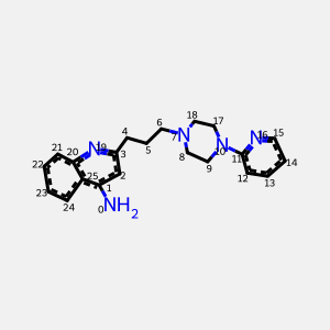 Nc1cc(CCCN2CCN(c3ccccn3)CC2)nc2ccccc12